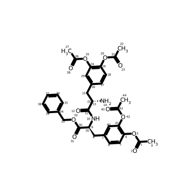 CC(=O)Oc1ccc(C[C@H](NC(=O)[C@@H](N)Cc2ccc(OC(C)=O)c(OC(C)=O)c2)C(=O)OCc2ccccc2)cc1OC(C)=O